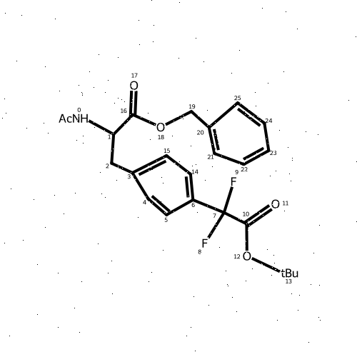 CC(=O)NC(Cc1ccc(C(F)(F)C(=O)OC(C)(C)C)cc1)C(=O)OCc1ccccc1